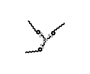 CCCCCCCCCc1ccc(OC(=O)CCOP(=S)(SCCC(=O)Oc2ccc(CCCCCCCCC)cc2)SCCC(=O)Oc2ccc(CCCCCCCCC)cc2)cc1